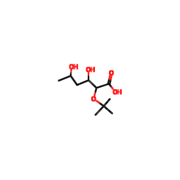 CC(O)CC(O)C(OC(C)(C)C)C(=O)O